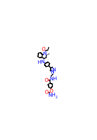 CCC(=O)N1c2ccccc2[C@H](Nc2ccc(-c3cnn(CCNC(=O)c4ccc(OC(N)=O)cc4)c3)cc2)C[C@@H]1C